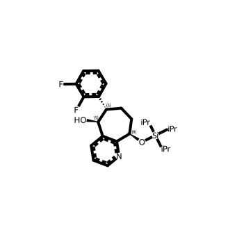 CC(C)[Si](O[C@@H]1CC[C@@H](c2cccc(F)c2F)[C@H](O)c2cccnc21)(C(C)C)C(C)C